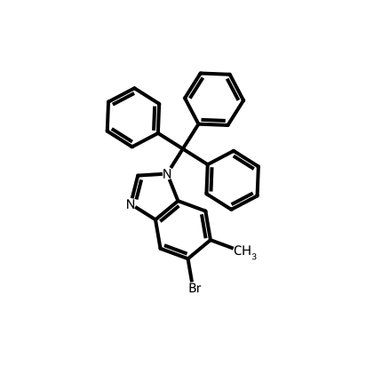 Cc1cc2c(cc1Br)ncn2C(c1ccccc1)(c1ccccc1)c1ccccc1